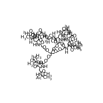 [2H]C(=O)C(C)(C)NC(=O)CC(NC(=O)COCOCC(COCOCC(=O)NC(CC(=O)NC(C)(C)C([2H])=O)C(=O)NC(C)(C)C([2H])=O)(COCOCC(=O)NC(CC(=O)NC(C)(C)C([2H])=O)C(=O)NC(C)(C)C([2H])=O)COCOCC(=O)NC(CC(=O)NC(C)(C)C(C)=O)C(=O)NC(C)(C)C([2H])=O)C(=O)NC(C)(C)C([2H])=O